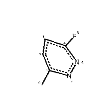 [CH2]c1ccc(F)nn1